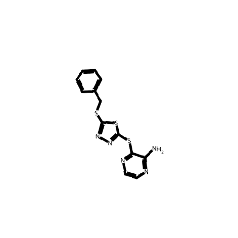 Nc1nccnc1Sc1nnc(SCc2ccccc2)s1